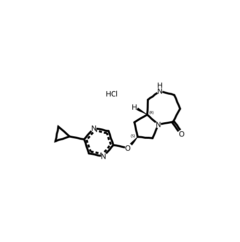 Cl.O=C1CCNC[C@H]2C[C@H](Oc3cnc(C4CC4)cn3)CN12